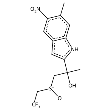 Cc1cc2[nH]c(C(C)(O)C[S+]([O-])CC(F)(F)F)cc2cc1[N+](=O)[O-]